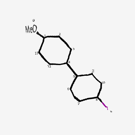 COC1CCC(C2CCC(I)CC2)CC1